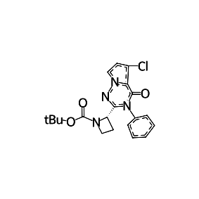 CC(C)(C)OC(=O)N1CC[C@H]1c1nn2ccc(Cl)c2c(=O)n1-c1ccccc1